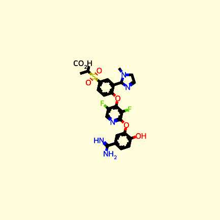 CC(C(=O)O)S(=O)(=O)c1ccc(Oc2c(F)cnc(Oc3cc(C(=N)N)ccc3O)c2F)c(C2N=CCN2C)c1